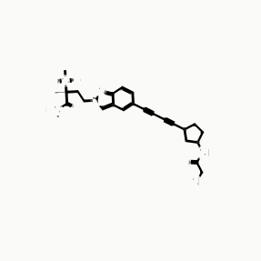 C[C@@](CCn1cc2cc(C#CC#CC3CCC(NC(=O)CN)C3)ccc2n1)(C(=O)NO)S(C)(=O)=O